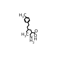 CCC(CCc1ccc(C)cc1)CC(CN)C(=O)O